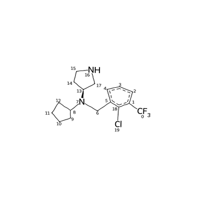 FC(F)(F)c1cccc(CN(C2CCCC2)[C@H]2CCNC2)c1Cl